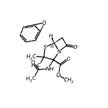 COC(=O)C1(NC(C)=O)N2C(=O)C[C@H]2SC1(C)C.c1ccc2c(c1)O2